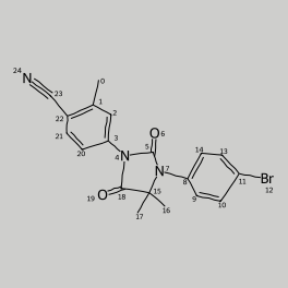 Cc1cc(N2C(=O)N(c3ccc(Br)cc3)C(C)(C)C2=O)ccc1C#N